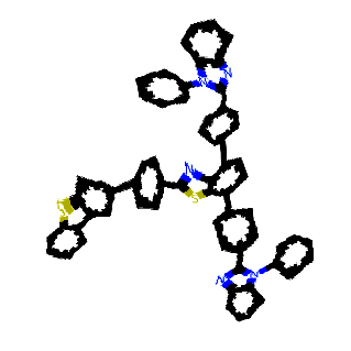 c1ccc(-n2c(-c3ccc(-c4ccc(-c5ccc(-c6nc7ccccc7n6-c6ccccc6)cc5)c5sc(-c6ccc(-c7ccc8sc9ccccc9c8c7)cc6)nc45)cc3)nc3ccccc32)cc1